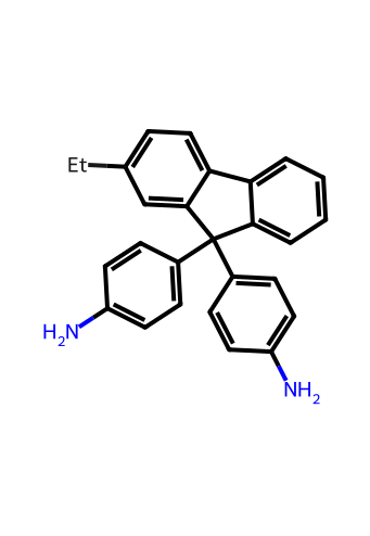 CCc1ccc2c(c1)C(c1ccc(N)cc1)(c1ccc(N)cc1)c1ccccc1-2